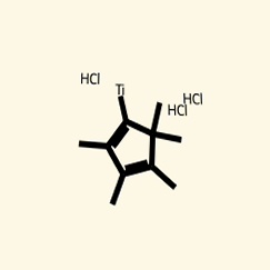 CC1=C(C)C(C)(C)[C]([Ti])=C1C.Cl.Cl.Cl